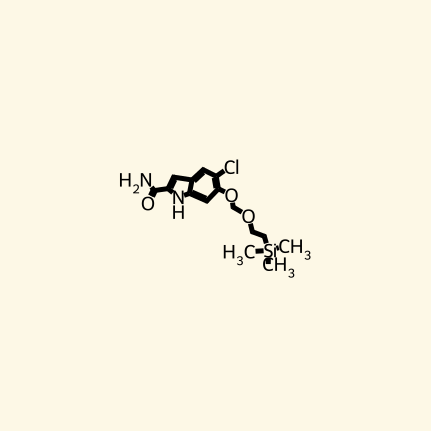 C[Si](C)(C)CCOCOc1cc2[nH]c(C(N)=O)cc2cc1Cl